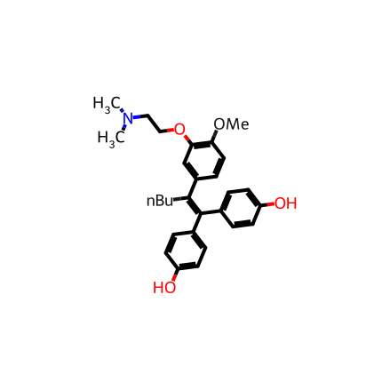 CCCCC(=C(c1ccc(O)cc1)c1ccc(O)cc1)c1ccc(OC)c(OCCN(C)C)c1